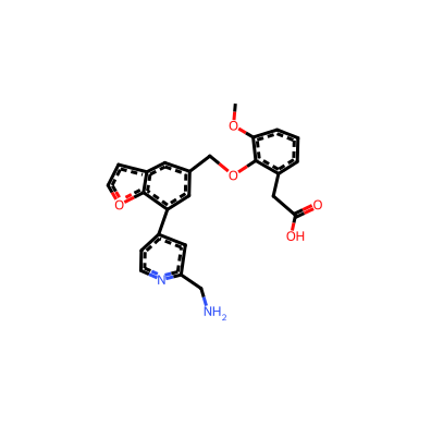 COc1cccc(CC(=O)O)c1OCc1cc(-c2ccnc(CN)c2)c2occc2c1